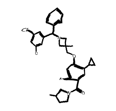 CC1CCN(C(=O)c2cc(C3CC3)c(OCC3(C)CN(C(c4ccccc4)c4cc(Cl)cc(Cl)c4)C3)cc2F)C1